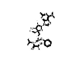 Cc1nc(N(C)C)c2ncn([C@@H]3O[C@](CCl)(CO[P@@](=S)(N[C@@H](C)C(=O)OC(C)C)Oc4ccccc4)[C@@H](O)[C@@H]3F)c2n1